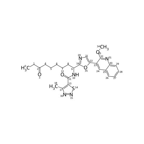 CCC(=O)CCCCCC(NC(=O)c1snnc1C)c1ncc(-c2cc3ccccc3nc2OC)o1